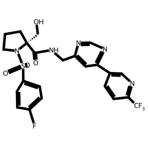 O=C(NCc1cc(-c2ccc(C(F)(F)F)nc2)ncn1)[C@]1(CO)CCCN1S(=O)(=O)c1ccc(F)cc1